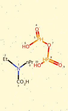 CCCN(CC)C(=O)O.O=[PH](O)O[PH](=O)O